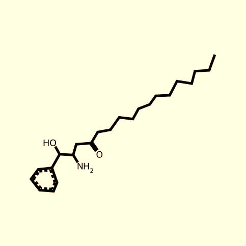 CCCCCCCCCCCCCC(=O)CC(N)C(O)c1ccccc1